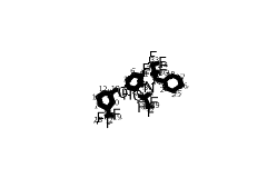 OC(CN(c1cccc(OCc2cccc(C(F)(F)F)c2)c1)C(C1CCCCC1)C(F)(F)C(F)(F)F)C(F)(F)F